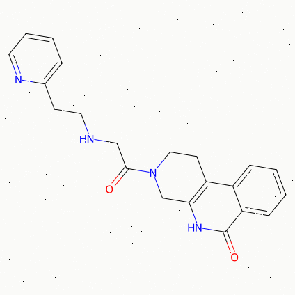 O=C(CNCCc1ccccn1)N1CCc2c([nH]c(=O)c3ccccc23)C1